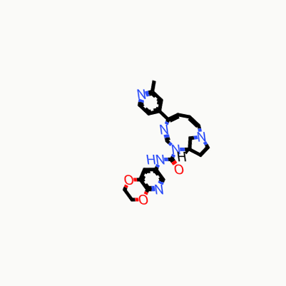 Cc1cc(C2=CC=CN3CC[C@@H](C3)N(C(=O)Nc3cnc4c(c3)OCCO4)C=N2)ccn1